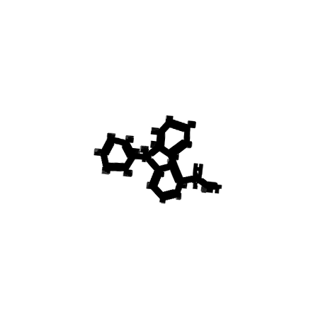 CC(C)Nc1cccc2c1c1ccccc1n2-c1ccccc1